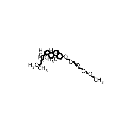 CCCOCCOCCOCCOCCO[C@H]1CC[C@@]2(C)C(=CCC3[C@@H]2CC[C@]2(C)C([C@H](C)CCCC(C)C)CC[C@@H]32)C1